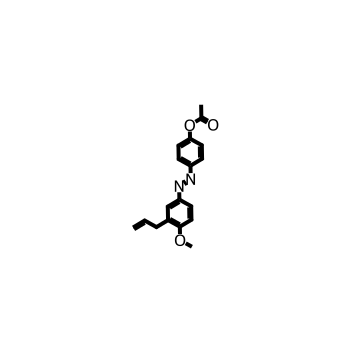 C=CCc1cc(N=Nc2ccc(OC(C)=O)cc2)ccc1OC